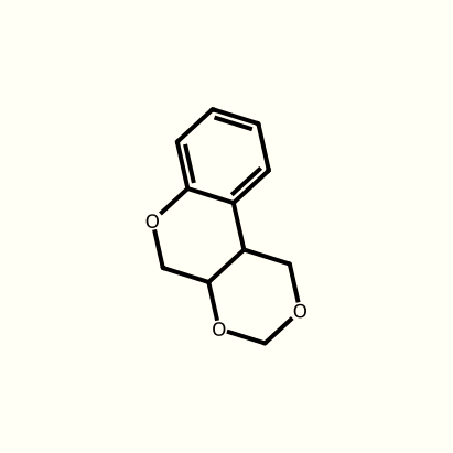 c1ccc2c(c1)OCC1OCOCC21